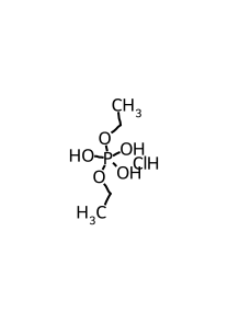 CCOP(O)(O)(O)OCC.Cl